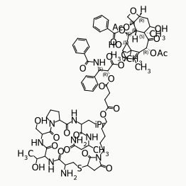 CC(=O)O[C@H]1C(=O)[C@]2(C)C(O)C[C@H]3OC[C@@]3(OC(C)=O)[C@H]2[C@H](OC(=O)c2ccccc2)[C@]2(O)C[C@H](OC(=O)[C@H](OC(=O)CCC(=O)OCCCCCN3C(=O)CC(SCC(N)C(=O)NC(C(=O)NC(CO)C(=O)N4CCCC4C(=O)NC(CC(C)C)C(=O)NC(C)CC(N)=O)C(C)O)C3=O)[C@@H](NC(=O)c3ccccc3)c3ccccc3)C(C)=C1C2(C)C